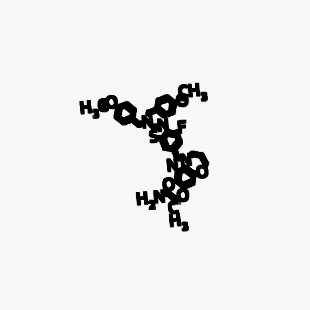 COc1ccc(CN(Cc2ccc(OC)cc2)c2nc3c(F)cc(-c4nc5cc(O[C@@H](C)C(N)=O)cc6c5n4CCCO6)cc3s2)cc1